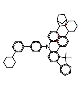 CC1(C)c2ccccc2-c2ccc(N(c3ccc(-c4cccc(C5CCCCC5)c4)cc3)c3ccc(C4CC5CCC4C5)cc3)c(-c3ccc(C4CCCCC4)cc3)c21